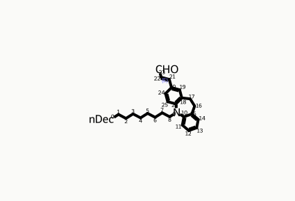 CCCCCCCCCCCCCCCCCCN1c2ccccc2CCc2cc(/C=C/C=O)ccc21